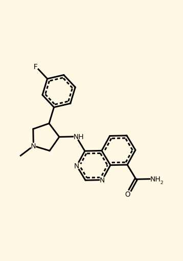 CN1CC(Nc2ncnc3c(C(N)=O)cccc23)C(c2cccc(F)c2)C1